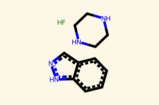 C1CNCCN1.F.c1ccc2[nH]ncc2c1